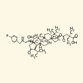 CC(C)C1=C2[C@H]3CC[C@@H]4[C@@]5(C)CC[C@H](OC(=O)CC(C)(C)C(=O)O)C(C)(C)C5CC[C@@]4(C)[C@]3(C)CC[C@@]2([C@@H](O)CNCc2ccc(F)cc2)CC1=O